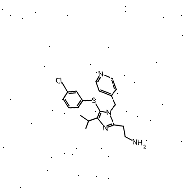 CC(C)c1nc(CCN)n(Cc2ccncc2)c1Sc1cccc(Cl)c1